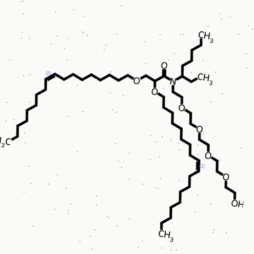 CCCCCCCC/C=C\CCCCCCCCOCC(OCCCCCCCC/C=C\CCCCCCCC)C(=O)N(CCOCCOCCOCCOCCO)C(CC)CCCCC